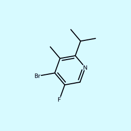 Cc1c(C(C)C)ncc(F)c1Br